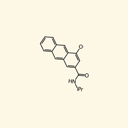 CC(C)NC(=O)c1cc([O])c2cc3ccccc3cc2c1